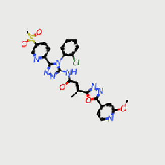 COc1cc(-c2nnc(/C(C)=C/C(=O)Nc3nnc(-c4ccc(S(C)(=O)=O)cn4)n3-c3ccccc3Cl)o2)ccn1